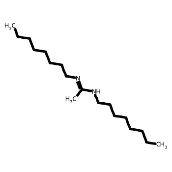 CCCCCCCC/N=C(\C)NCCCCCCCC